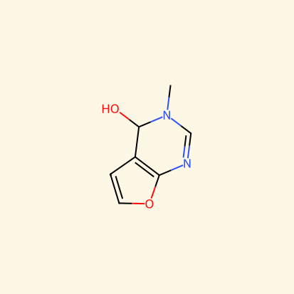 CN1C=Nc2occc2C1O